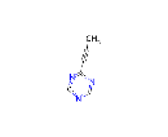 CC#Cc1ncncn1